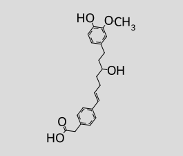 COc1cc(CCC(O)CCC=Cc2ccc(CC(=O)O)cc2)ccc1O